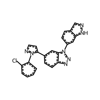 Clc1ccccc1-n1nccc1-c1ccc2nnn(-c3ccc4cn[nH]c4c3)c2c1